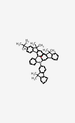 CC(C)(C)c1ccc2c(c1)C(C)(C)c1cccc(-c3ccccc3N(c3ccc4c(c3)-c3ccccc3C4(C)C)c3ccc4c(c3)C(C)(C)c3ccccc3-4)c1-2